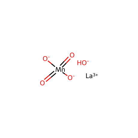 [La+3].[OH-].[O]=[Mn](=[O])([O-])[O-]